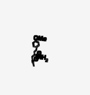 CC#CCC(CCc1ccc(OC)cc1)S(N)(=O)=O